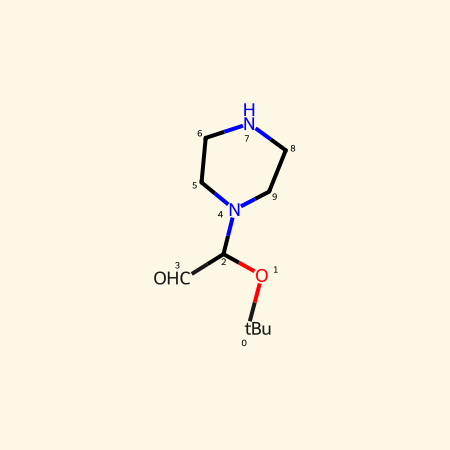 CC(C)(C)OC(C=O)N1CCNCC1